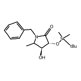 CC1[C@H](O)[C@@H](O[Si](C)(C)C(C)(C)C)C(=O)N1Cc1ccccc1